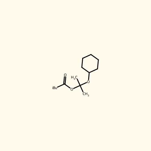 CCC(C)C(=O)OC(C)(C)OC1CCCCC1